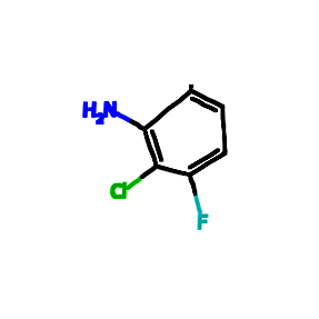 Nc1[c]ccc(F)c1Cl